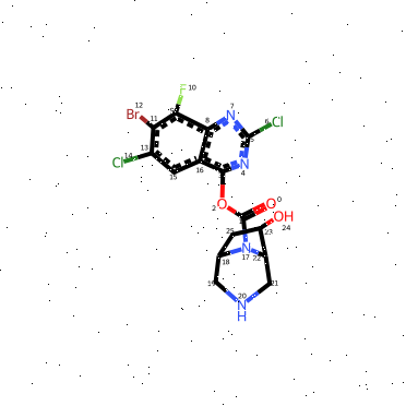 O=C(Oc1nc(Cl)nc2c(F)c(Br)c(Cl)cc12)N1C2CNCC1C(O)C2